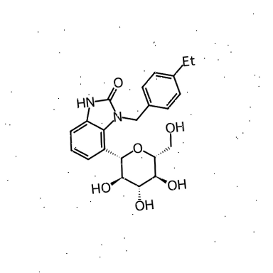 CCc1ccc(Cn2c(=O)[nH]c3cccc([C@@H]4O[C@H](CO)[C@@H](O)[C@H](O)[C@H]4O)c32)cc1